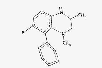 CC1CN(C)c2c(ccc(F)c2-c2ccccc2)N1